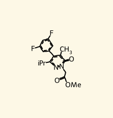 COC(=O)Cn1nc(C(C)C)c(-c2cc(F)cc(F)c2)c(C)c1=O